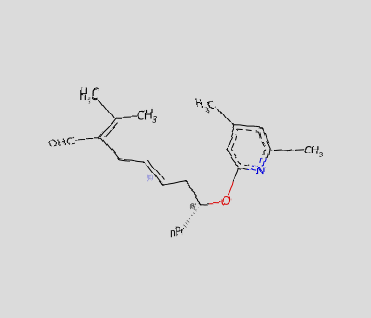 CCC[C@H](C/C=C/CC(C=O)=C(C)C)Oc1cc(C)cc(C)n1